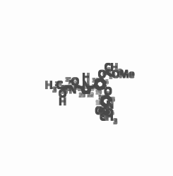 COC[C@H](C)Oc1cc(Oc2ccc(S(C)(=O)=O)nc2)cc(-c2ccc(C3=N[C@H]([C@@H](C)O)CO3)[nH]2)c1